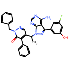 CC(c1cnn(Cc2ccccc2)c(=O)c1-c1ccccc1)n1nc(-c2cc(O)cc(F)c2)c2c(N)ncnc21